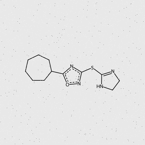 C1CCCC(c2nc(SC3=NCCN3)no2)CC1